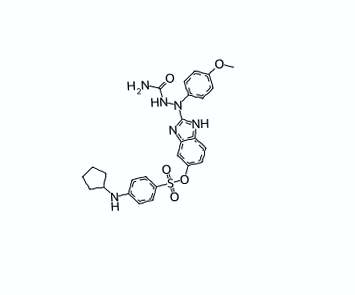 COc1ccc(N(NC(N)=O)c2nc3cc(OS(=O)(=O)c4ccc(NC5CCCC5)cc4)ccc3[nH]2)cc1